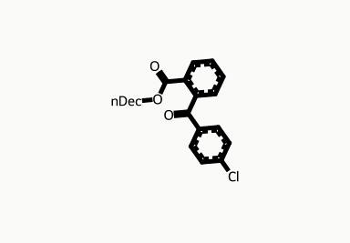 CCCCCCCCCCOC(=O)c1ccccc1C(=O)c1ccc(Cl)cc1